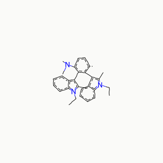 CCn1c(C)c(-c2[c]ccc(N(C)C)c2-c2c(C)n(CC)c3ccccc23)c2ccccc21